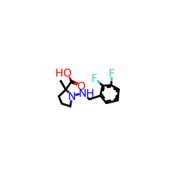 CC1(C(=O)O)CCCN1NCc1cccc(F)c1F